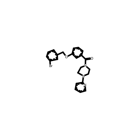 O=C(c1cccc(OCc2cccc(Br)c2)c1)N1CCN(c2ccccn2)CC1